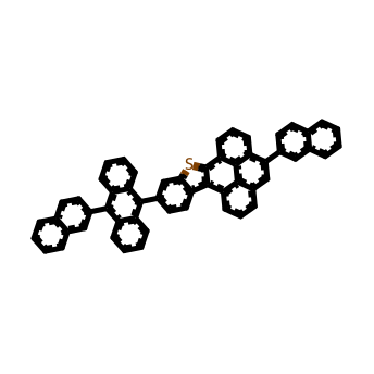 c1ccc2cc(-c3c4ccccc4c(-c4ccc5c(c4)sc4c6cccc7c(-c8ccc9ccccc9c8)cc8cccc(c54)c8c76)c4ccccc34)ccc2c1